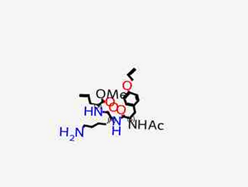 C=CCOc1ccc(C[C@H](NC(C)=O)C(=O)N[C@H](CCCCN)C(=O)N[C@@H](CC=C)C(=O)OC)cc1